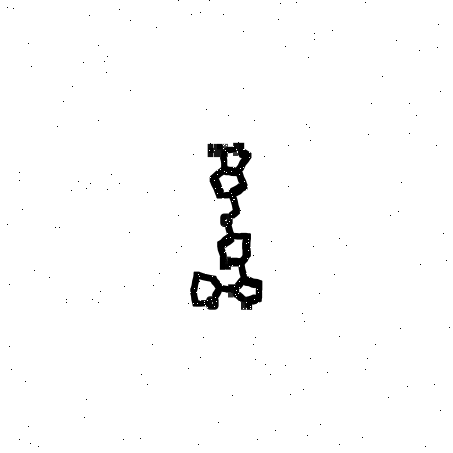 c1cc(-c2ccc(OCc3ccc4[nH]ncc4c3)cn2)n(C2CCCCO2)n1